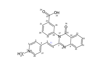 C[n+]1ccc(/C=C/c2nc3ccccc3c(=O)n2-c2cccc(C(=O)O)c2)cc1